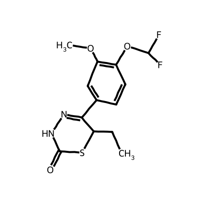 CCC1SC(=O)NN=C1c1ccc(OC(F)F)c(OC)c1